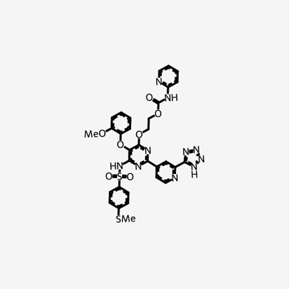 COc1ccccc1Oc1c(NS(=O)(=O)c2ccc(SC)cc2)nc(-c2ccnc(-c3nnn[nH]3)c2)nc1OCCOC(=O)Nc1ccccn1